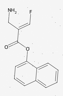 NCC(=CF)C(=O)Oc1cccc2ccccc12